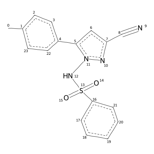 Cc1ccc(-c2cc(C#N)nn2NS(=O)(=O)c2ccccc2)cc1